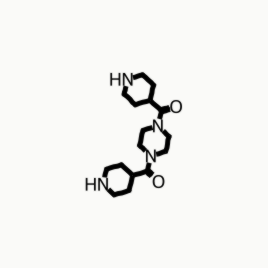 O=C(C1CCNCC1)N1CCN(C(=O)C2CCNCC2)CC1